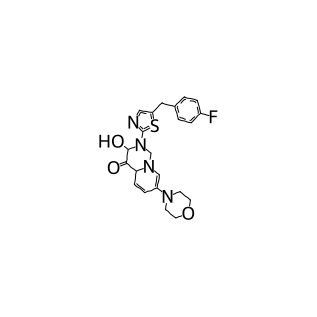 O=C1C2C=CC(N3CCOCC3)=CN2CN(c2ncc(Cc3ccc(F)cc3)s2)C1O